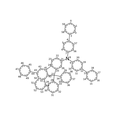 c1ccc(-c2ccc(N(c3ccc(-c4ccccc4)cc3)c3ccc4c(c3)C(c3ccccc3)(c3ccccc3)c3c-4cc(-c4ccccc4)c4ccccc34)cc2)cc1